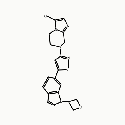 Clc1cnc2n1CCN(c1noc(-c3ccc4cnn(C5COC5)c4c3)n1)C2